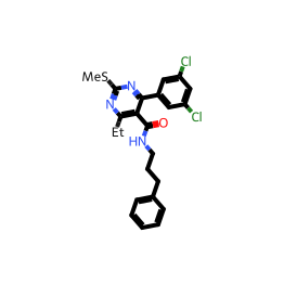 CCc1nc(SC)nc(-c2cc(Cl)cc(Cl)c2)c1C(=O)NCCCc1ccccc1